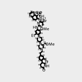 CCc1cc(Nc2ncc(Br)c(Nc3ccc4nccnc4c3P(C)(C)=O)n2)c(OC)cc1N1CCC(N2CCN(CCc3ccc(C4CCC(=O)NC4=O)c(F)c3)C[C@@H]2COC)CC1